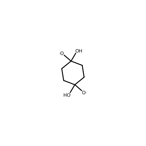 [O]C1(O)CCC([O])(O)CC1